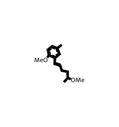 COc1ccc(C)cc1/C=C/CCC(C)OC